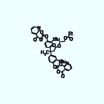 CCC(=O)OCCOC(=O)CC(C)(c1ccc(OP2OC(=O)c3cccnc3O2)c(C(C)(C)C)c1)c1ccc(OP2OC(=O)c3cccnc3O2)c(C(C)(C)C)c1